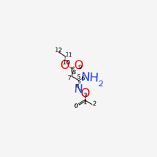 C=C(C)O/N=C(\N)CC(=O)OCC